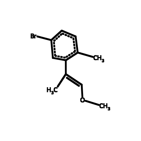 COC=C(C)c1cc(Br)ccc1C